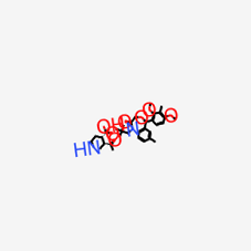 CC(=O)[C@H]1CNCC[C@@H]1C(=O)O.COc1ccc(C2OCC(=O)N(CC(C)(C)C)c3ccc(C)cc32)c(OC)c1C